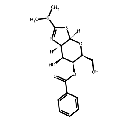 CN(C)C1=N[C@@H]2[C@H](O)[C@H](OC(=O)c3ccccc3)[C@H](CO)O[C@@H]2S1